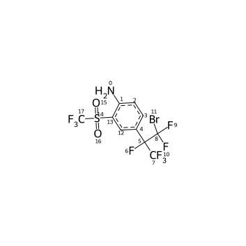 Nc1ccc(C(F)(C(F)(F)F)C(F)(F)Br)cc1S(=O)(=O)C(F)(F)F